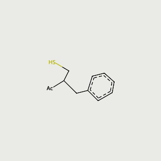 CC(=O)C(CS)Cc1ccccc1